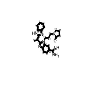 CC(c1nc2ccccc2[nH]1)c1nc2ccc(C(=N)N)cc2n1CCCN1CCCC1=O